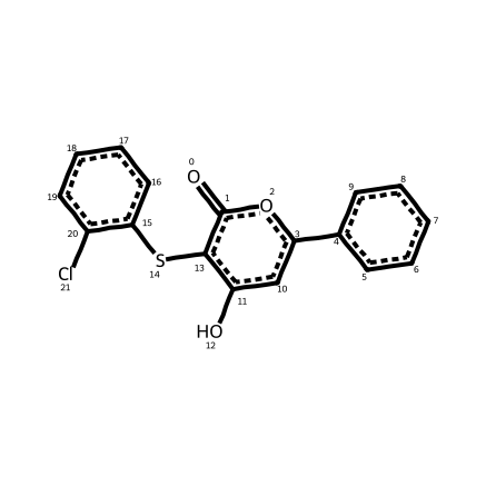 O=c1oc(-c2ccccc2)cc(O)c1Sc1ccccc1Cl